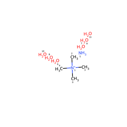 C[N+](C)(C)C.N.O.O.O.O.O.O